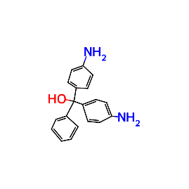 Nc1ccc(C(O)(c2ccccc2)c2ccc(N)cc2)cc1